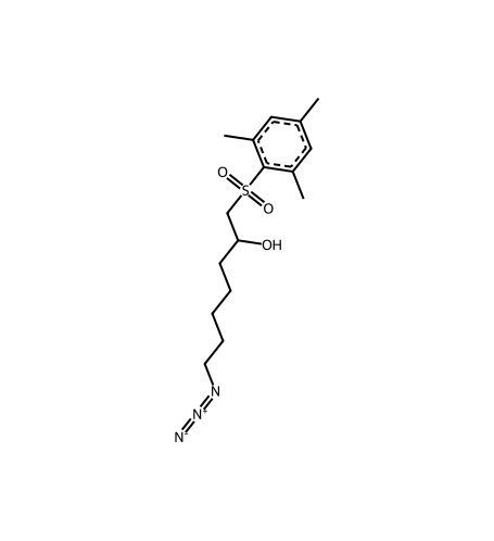 Cc1cc(C)c(S(=O)(=O)CC(O)CCCCCN=[N+]=[N-])c(C)c1